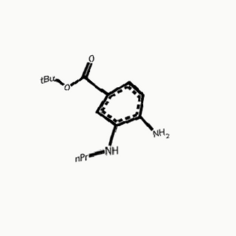 CCCNc1cc(C(=O)OC(C)(C)C)ccc1N